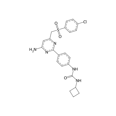 Nc1cc(CS(=O)(=O)c2ccc(Cl)cc2)nc(-c2ccc(NC(=O)NC3CCC3)cc2)n1